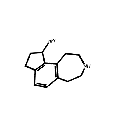 CCCC1CCc2ccc3c(c21)CCNCC3